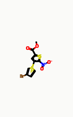 COC(=O)c1cc([SH]2C=CC(Br)=C2)c([N+](=O)[O-])s1